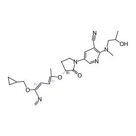 C=N/C(=C\C=C(/C)O[C@@H]1CCN(c2cnc(N(C)CC(C)O)c(C#N)c2)C1=O)OCC1CC1